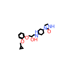 O=C1NCCN1C1CCC(NC[C@H](O)COc2ccccc2OCC2CC2)CC1